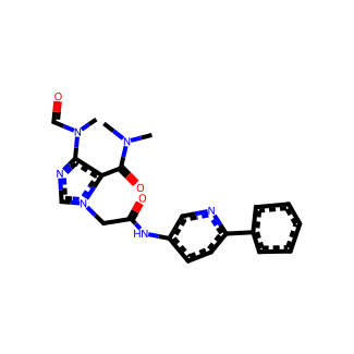 CN(C)C(=O)c1c(N(C)C=O)ncn1CC(=O)Nc1ccc(-c2ccccc2)nc1